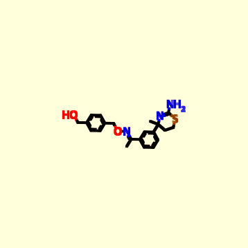 C/C(=N\OCc1ccc(CO)cc1)c1cccc(C2(C)CCSC(N)=N2)c1